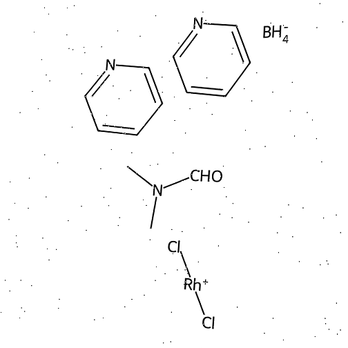 CN(C)C=O.[BH4-].[Cl][Rh+][Cl].c1ccncc1.c1ccncc1